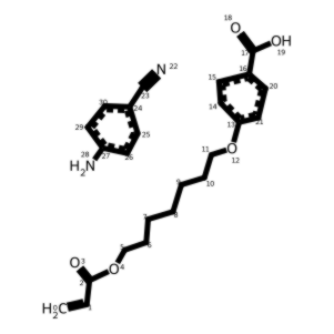 C=CC(=O)OCCCCCCCOc1ccc(C(=O)O)cc1.N#Cc1ccc(N)cc1